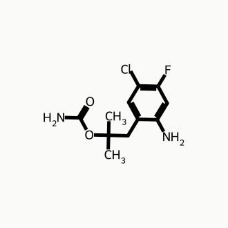 CC(C)(Cc1cc(Cl)c(F)cc1N)OC(N)=O